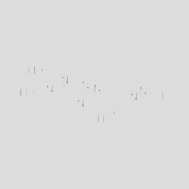 Cc1c(-c2ccn(C)n2)cn2nc(-c3cn(C)c(C)n3)nc(O)c12